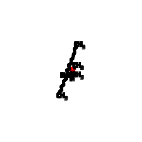 CCCCCCCCCCCCCCCCCCCC.CCO[SiH](C)C